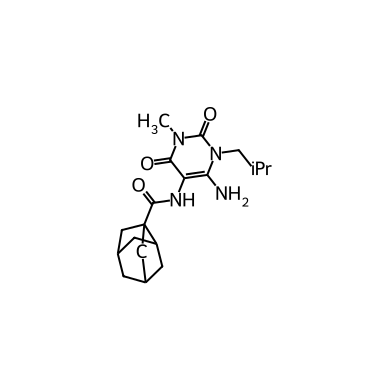 CC(C)Cn1c(N)c(NC(=O)C23CC4CC(CC2C4)C3)c(=O)n(C)c1=O